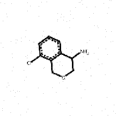 NC1COCc2c(Cl)cccc21